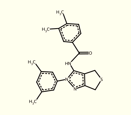 Cc1cc(C)cc(-n2nc3c(c2NC(=O)c2ccc(C)c(C)c2)CSC3)c1